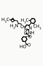 Cc1cccc(C)c1-c1cc(OCC(N)CC23CC(C)(C2)C3)nc(NS(=O)(=O)c2cccc(C(=O)O)c2)n1